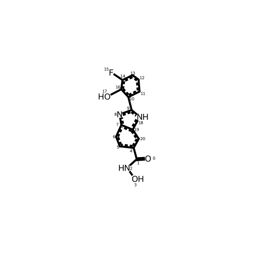 O=C(NO)c1ccc2nc(-c3cccc(F)c3O)[nH]c2c1